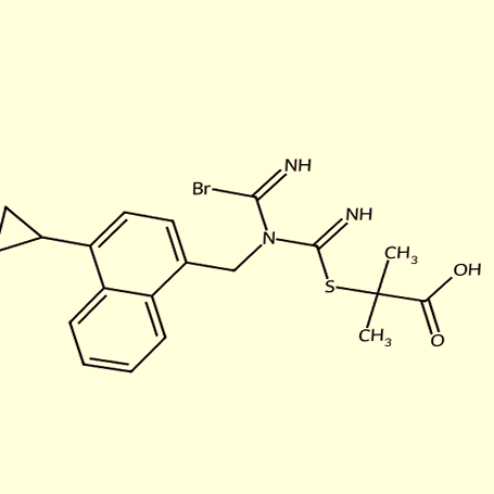 CC(C)(SC(=N)N(Cc1ccc(C2CC2)c2ccccc12)C(=N)Br)C(=O)O